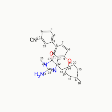 [C-]#[N+]c1cccc(-c2ccc3c(c2)C2(CC4(CCC(C)CC4)O3)N=C(N)N(C)C2=O)c1